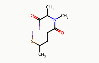 CC(CCC(=O)N(C)C(C)C(=O)I)SI